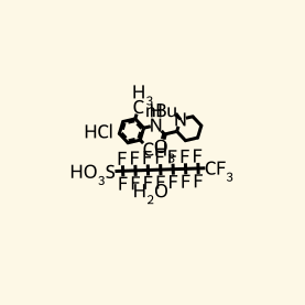 CCCCN1CCCCC1C(=O)Nc1c(C)cccc1C.Cl.O.O=S(=O)(O)C(F)(F)C(F)(F)C(F)(F)C(F)(F)C(F)(F)C(F)(F)C(F)(F)C(F)(F)F